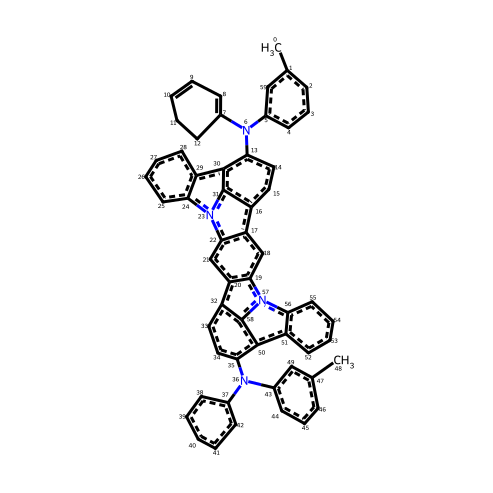 Cc1cccc(N(C2=CC=CCC2)c2ccc3c4cc5c(cc4n4c6ccccc6c2c34)c2ccc(N(c3ccccc3)c3cccc(C)c3)c3c4ccccc4n5c23)c1